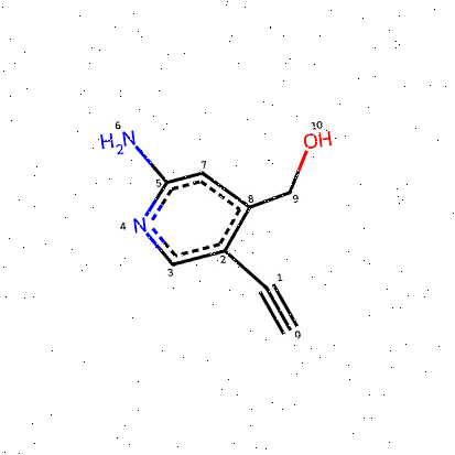 C#Cc1cnc(N)cc1CO